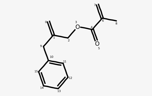 C=C(COC(=O)C(=C)C)Cc1ccccc1